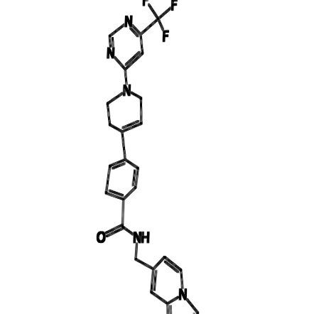 O=C(NCc1ccn2ccnc2c1)c1ccc(C2=CCN(c3cc(C(F)(F)F)ncn3)CC2)cc1